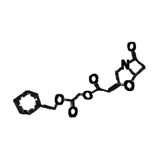 O=C(/C=C1\CN2C(=O)CC2O1)OCC(=O)OCc1ccccc1